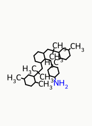 CC1CCC(C)C(C(C)(C)CC2CCCC(CC(C)(C)C3CC(C)CCC3C)C2CC2CCC(N)CC2)C1